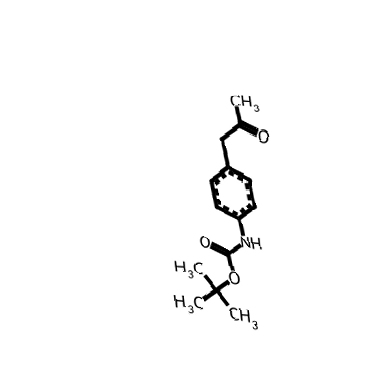 CC(=O)Cc1ccc(NC(=O)OC(C)(C)C)cc1